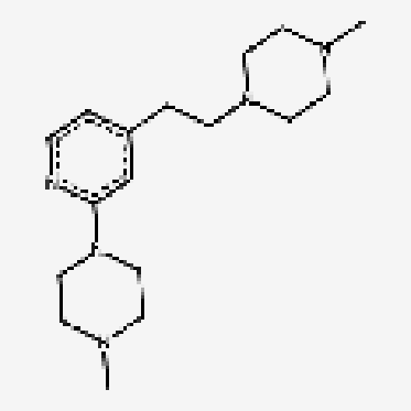 CN1CCN(CCc2ccnc(N3CCN(C)CC3)c2)CC1